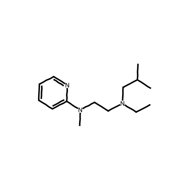 CCN(CCN(C)c1ccccn1)CC(C)C